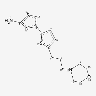 Nc1nc(-c2ccc(CCCN3CCOCC3)s2)cs1